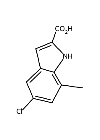 Cc1cc(Cl)cc2cc(C(=O)O)[nH]c12